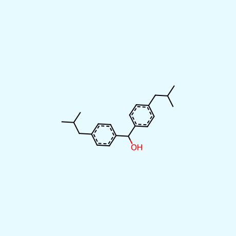 CC(C)Cc1ccc(C(O)c2ccc(CC(C)C)cc2)cc1